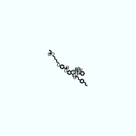 C=CC(=O)OCCCCCCOc1ccc(C(=O)Oc2ccc(C3COC(CCc4ccc(/C=C/C)cc4)OC3)c(/C=N/N(CCCC)c3nc4ccccc4s3)c2)cc1